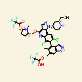 Cc1cc2[nH]ncc2c(-c2c(Cl)cc3c(nc(OC[C@@H]4CCCN4C)c4cnn([C@H]5CCN[C@H](CC#N)C5)c43)c2F)c1C.O=C(O)C(F)(F)F.O=C(O)C(F)(F)F